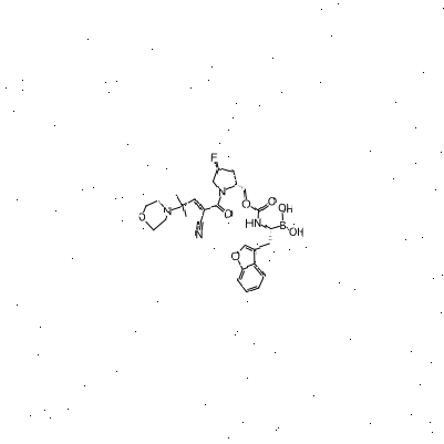 CC(C)(/C=C(\C#N)C(=O)N1C[C@@H](F)C[C@@H]1COC(=O)N[C@@H](Cc1coc2ccccc12)B(O)O)N1CCOCC1